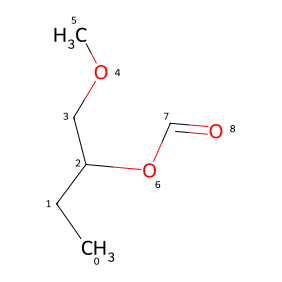 CCC(COC)OC=O